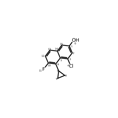 Oc1cc(Cl)c2c(C3CC3)c(F)ccc2c1